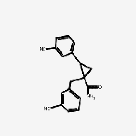 N#Cc1cccc(CC2(C(N)=O)CC2c2cccc(C#N)c2)c1